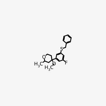 COC1(c2cc(F)cc(SCc3ccccc3)c2)CCOC(C)C1